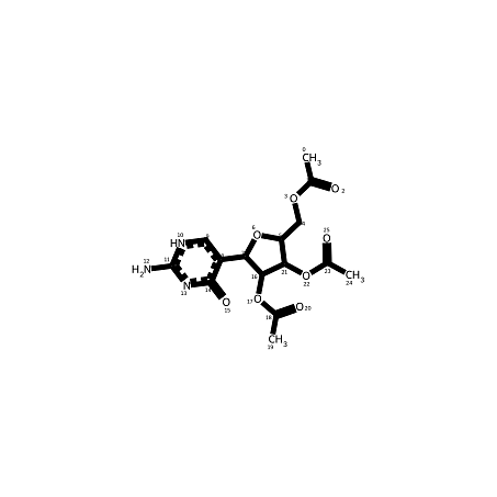 CC(=O)OCC1OC(c2c[nH]c(N)nc2=O)C(OC(C)=O)C1OC(C)=O